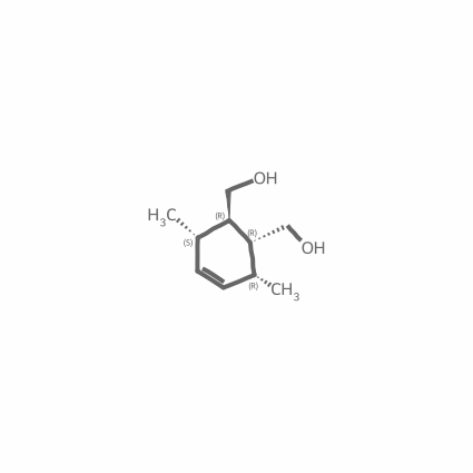 C[C@@H]1C=C[C@H](C)[C@@H](CO)[C@@H]1CO